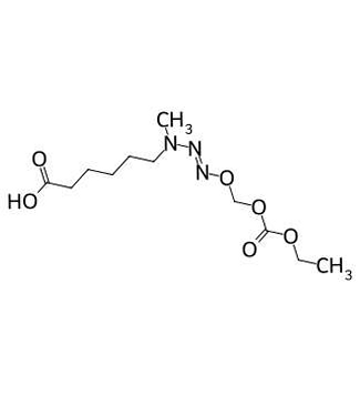 CCOC(=O)OCON=NN(C)CCCCCC(=O)O